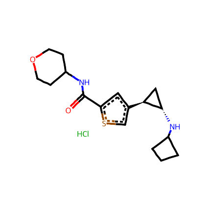 Cl.O=C(NC1CCOCC1)c1cc([C@H]2C[C@@H]2NC2CCC2)cs1